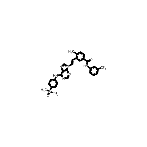 Cc1ccc(C(=O)Nc2cccc(C(F)(F)F)c2)cc1C=Cn1cnc2c(Nc3ccc(P(C)(C)=O)cc3)ncnc21